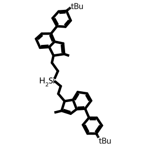 CC1=Cc2c(-c3ccc(C(C)(C)C)cc3)cccc2C1CC[SiH2]CCC1C(C)=Cc2c(-c3ccc(C(C)(C)C)cc3)cccc21